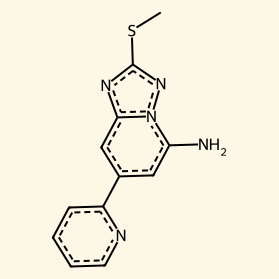 CSc1nc2cc(-c3ccccn3)cc(N)n2n1